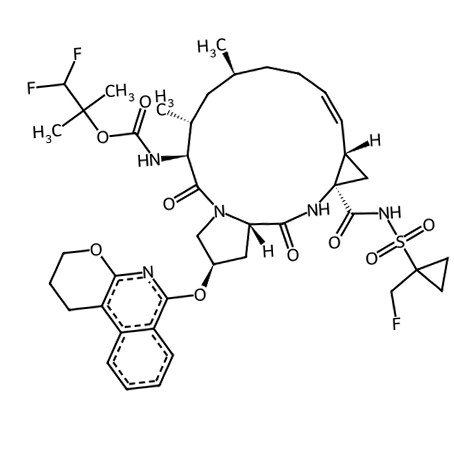 C[C@H]1CC/C=C\[C@@H]2C[C@@]2(C(=O)NS(=O)(=O)C2(CF)CC2)NC(=O)[C@@H]2C[C@@H](Oc3nc4c(c5ccccc35)CCCO4)CN2C(=O)[C@@H](NC(=O)OC(C)(C)C(F)F)[C@H](C)C1